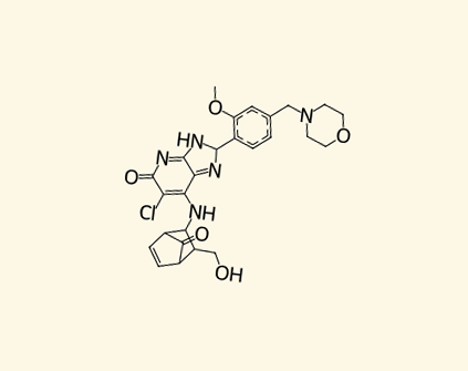 COc1cc(CN2CCOCC2)ccc1C1N=C2C(=NC(=O)C(Cl)=C2NC2C3C=CC(C3=O)C2CO)N1